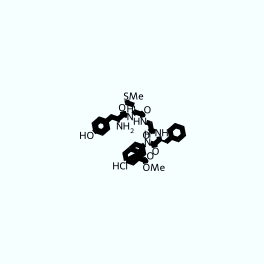 COC(=O)C12CC3CC(CC(NC(=O)[C@H](CC4CCCCC4)NC(=O)CNC(=O)[C@@H](CCSC)NC(=O)[C@@H](N)Cc4ccc(O)cc4)(C3)C1)C2.Cl